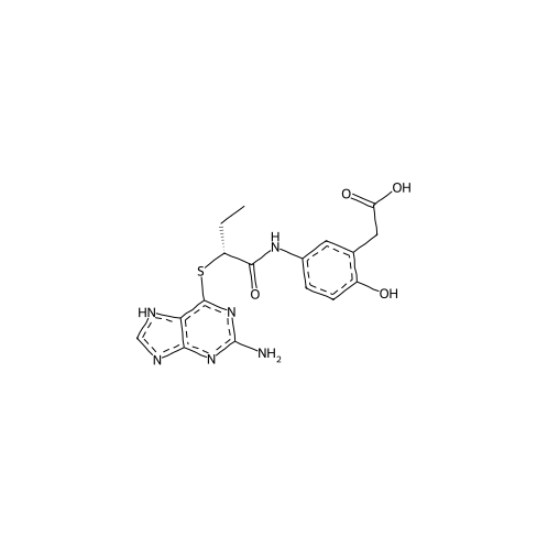 CC[C@@H](Sc1nc(N)nc2nc[nH]c12)C(=O)Nc1ccc(O)c(CC(=O)O)c1